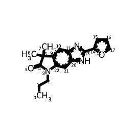 CCCN1C(=O)C(C)(C)c2cc3nc(-c4ccco4)[nH]c3cc21